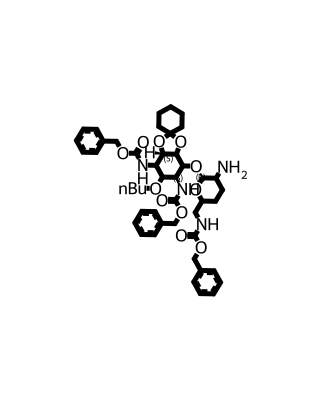 CCCCOC1C(NC(=O)OCc2ccccc2)[C@@H]2OC3(CCCCC3)OC2C(O[C@H]2OC(CNC(=O)OCc3ccccc3)CCC2N)[C@H]1NC(=O)OCc1ccccc1